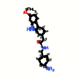 COc1ccc2c(c1)[nH]c1cc(CC(=O)NCc3ccc(N)cc3)ccc12